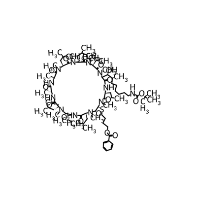 CCC[C@@H]1NC(=O)[C@H]([C@H](O)[C@H](C)CCCCCCNC(=O)OC(C)(C)C)N(C)C(=O)[C@H](C(C)C)N(C)C(=O)[C@H](CC(C)C)N(C)C(=O)[C@H](CC(C)C)N(C)C(=O)[C@H](C)NC(=O)[C@@H](C)NC(=O)[C@@H](CC(C)C)N(C)C(=O)[C@@H](C(C)C)NC(=O)[C@H](CC(C)C)N(C)C(=O)[C@@H](SCCCCOC(=O)c2ccccc2)N(C)C1=O